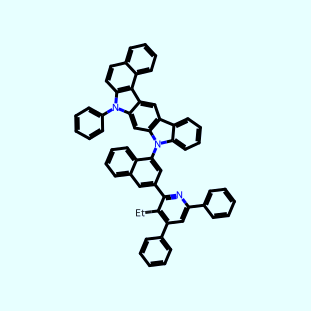 CCc1c(-c2ccccc2)cc(-c2ccccc2)nc1-c1cc(-n2c3ccccc3c3cc4c5c6ccccc6ccc5n(-c5ccccc5)c4cc32)c2ccccc2c1